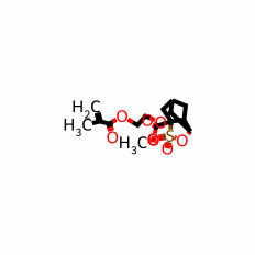 C=C(C)C(=O)OCCOC1C2CC3C1OS(=O)(=O)C3(C(=O)OC)C2